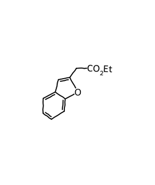 CCOC(=O)Cc1cc2ccccc2o1